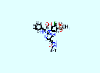 CC(C)c1nnc(C2=CNC(Nc3ccc(S(C)(=O)=O)c(F)c3)(N[C@H](CO)c3ccccc3)N=C2)o1